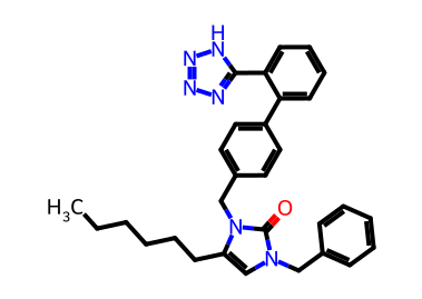 CCCCCCc1cn(Cc2ccccc2)c(=O)n1Cc1ccc(-c2ccccc2-c2nnn[nH]2)cc1